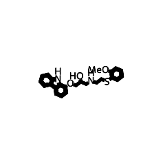 COc1ccccc1SCCNCC(O)COc1cccc2c1[nH]c1ccccc12